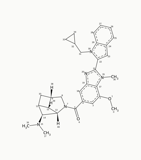 COc1cc(C(=O)N2C[C@H]3CC4[C@H]3[C@H]2[C@H]4N(C)C)cc2nc(-c3cc4ccccc4n3CC3CC3)n(C)c12